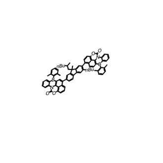 CCCCc1cc2c(cc1-c1ccc3c4c5c(ccc14)B(c1c(C)cccc1C)c1ccccc1N5C(=O)O3)C(C)(CC(C)CCCC)c1cc(-c3cc4c5c6c(cccc36)OC(=O)N5c3ccccc3B4c3c(C)cccc3C)ccc1-2